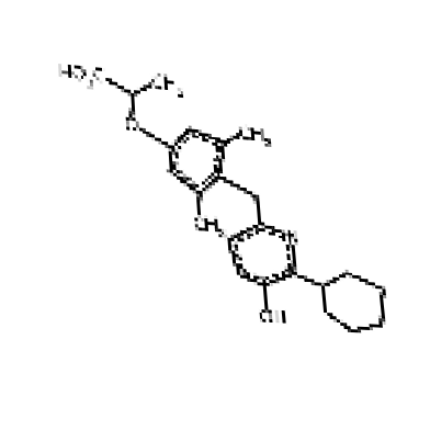 Cc1cc(OC(C)C(=O)O)cc(C)c1Cc1ccc(O)c(C2CCCCC2)n1